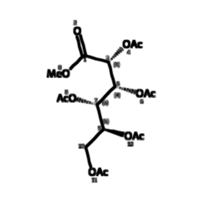 COC(=O)[C@H](OC(C)=O)[C@H](OC(C)=O)[C@@H](OC(C)=O)[C@H](COC(C)=O)OC(C)=O